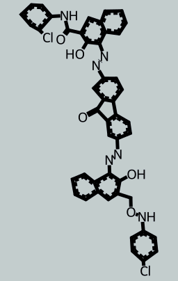 O=C1c2cc(N=Nc3c(O)c(CONc4ccc(Cl)cc4)cc4ccccc34)ccc2-c2ccc(N=Nc3c(O)c(C(=O)Nc4ccccc4Cl)cc4ccccc34)cc21